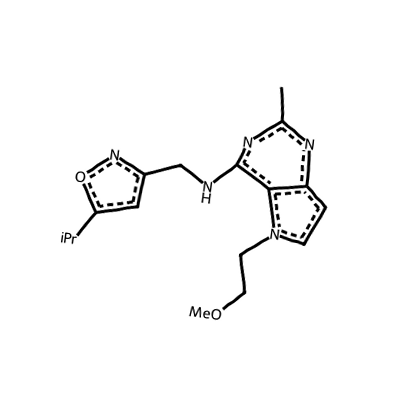 COCCn1ccc2nc(C)nc(NCc3cc(C(C)C)on3)c21